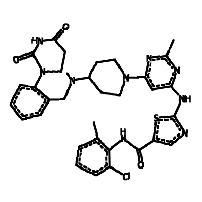 Cc1nc(Nc2ncc(C(=O)Nc3c(C)cccc3Cl)s2)cc(N2CCC(N(C)Cc3ccccc3N3CCC(=O)NC3=O)CC2)n1